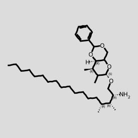 CCCCCCCCCCCCCC[C@@H](C)[C@@H](C)[C@@H](N)CO[C@H]1OC2COC(c3ccccc3)O[C@@H]2[C@H](C)C1C